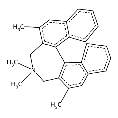 Cc1cc2ccccc2c2c1C[N+](C)(C)Cc1c(C)cc3ccccc3c1-2